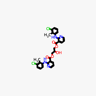 Cc1c(Cl)cccc1Nc1ncccc1C(=O)OCC(O)COC(=O)c1cccnc1Nc1cccc(Cl)c1C